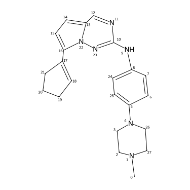 CN1CCN(c2ccc(Nc3ncc4ccc(C5=CCCC5)n4n3)cc2)CC1